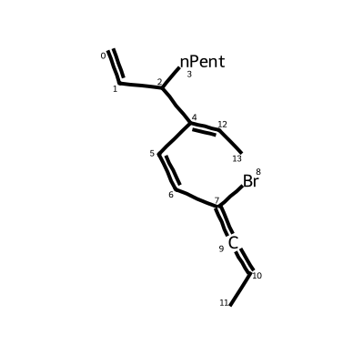 C=CC(CCCCC)C(/C=C\C(Br)=C=CC)=C/C